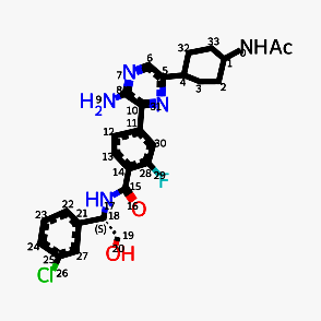 CC(=O)NC1CCC(c2cnc(N)c(-c3ccc(C(=O)N[C@H](CO)c4cccc(Cl)c4)c(F)c3)n2)CC1